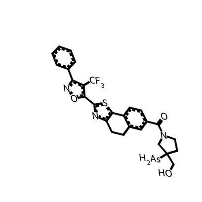 O=C(c1ccc2c(c1)CCc1nc(-c3onc(-c4ccccc4)c3C(F)(F)F)sc1-2)N1CCC([AsH2])(CO)C1